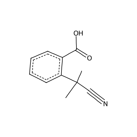 CC(C)(C#N)c1ccccc1C(=O)O